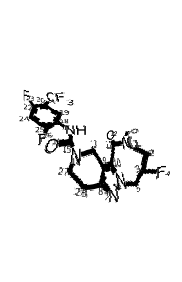 CN1CC(F)Cn2nc3c(c2C1=O)CN(C(=O)Nc1cc(C(F)(F)F)c(F)cc1F)CC3